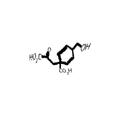 O=C(O)C(=O)CC1(C(=O)O)C=CC(CO)C=C1